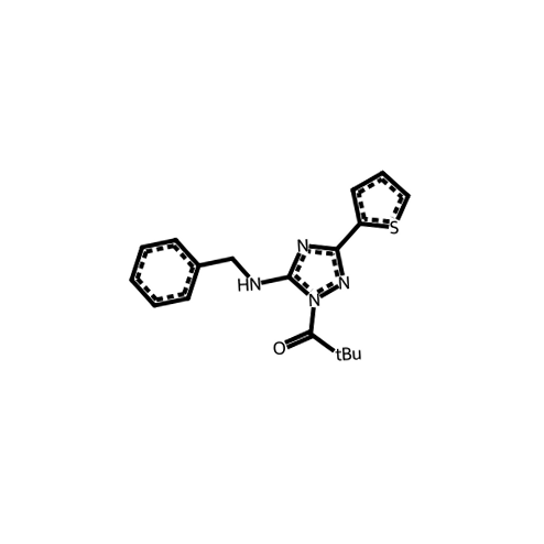 CC(C)(C)C(=O)n1nc(-c2cccs2)nc1NCc1ccccc1